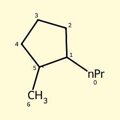 CCCC1CCC[C]1C